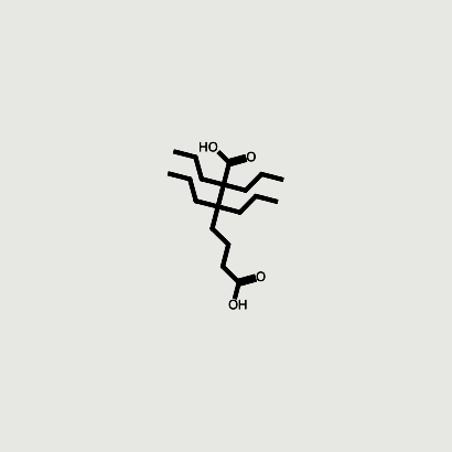 CCCC(CCC)(CCCC(=O)O)C(CCC)(CCC)C(=O)O